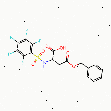 O=C(CC(NS(=O)(=O)c1c(F)c(F)c(F)c(F)c1F)C(=O)O)OCc1ccccc1